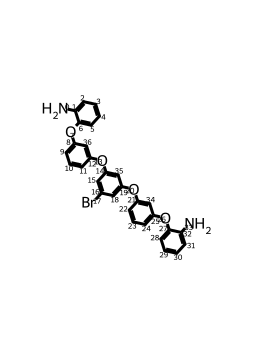 Nc1ccccc1Oc1cccc(Oc2cc(Br)cc(Oc3cccc(Oc4ccccc4N)c3)c2)c1